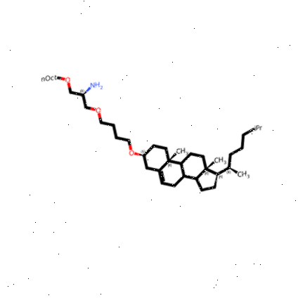 CCCCCCCCOC[C@@H](N)COCCCCO[C@H]1CC[C@@]2(C)C(=CCC3C2CC[C@@]2(C)C3CC[C@@H]2[C@H](C)CCCC(C)C)C1